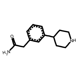 NC(=O)Cc1cccc(C2CCNCC2)c1